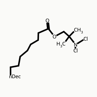 CCCCCCCCCCCCCCCCCC(=O)OCC(C)(C)N(Cl)Cl